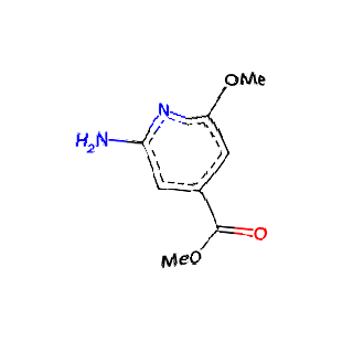 COC(=O)c1cc(N)nc(OC)c1